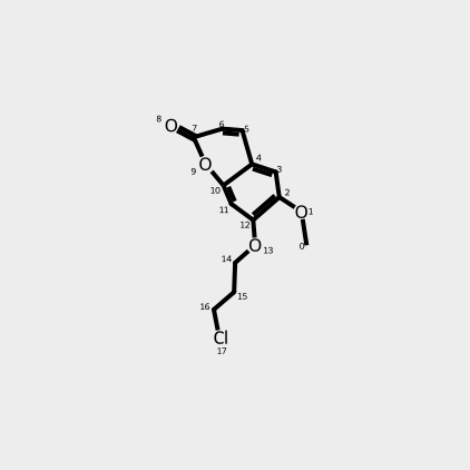 COc1cc2ccc(=O)oc2cc1OCCCCl